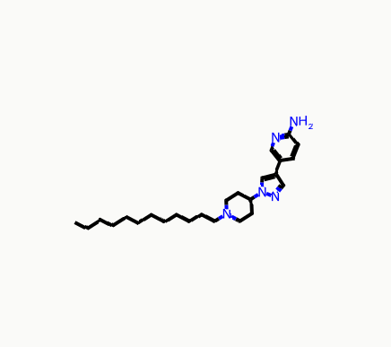 CCCCCCCCCCCCN1CCC(n2cc(-c3ccc(N)nc3)cn2)CC1